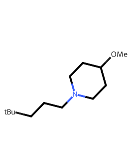 COC1CCN(CCCC(C)(C)C)CC1